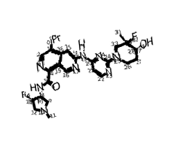 CC(C)c1cnc(C(=O)N[C@@H]2CN(C)C[C@H]2F)c2cnc(Nc3ccnc(N4CC[C@@H](O)[C@@](C)(F)C4)n3)cc12